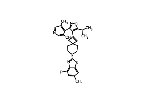 Cc1cc(F)c2nc(N3CCC4(C=C(c5c(-c6c(C)cncc6C)noc5C(C)C)C4)CC3)sc2c1